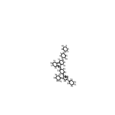 c1ccc(-c2ccc(-c3ccc4c(c3)c3ccccc3n4-c3ccc(-n4nc(-c5ccccc5)cc4-c4ccccc4)cc3)cc2)cc1